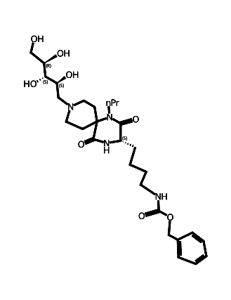 CCCN1C(=O)[C@H](CCCCNC(=O)OCc2ccccc2)NC(=O)C12CCN(C[C@H](O)[C@H](O)[C@H](O)CO)CC2